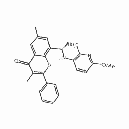 COc1ccc(N[C@H](C)c2cc(C)cc3c(=O)c(C)c(-c4ccccc4)oc23)c(C(=O)O)n1